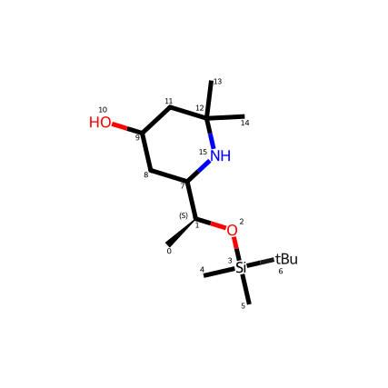 C[C@H](O[Si](C)(C)C(C)(C)C)C1CC(O)CC(C)(C)N1